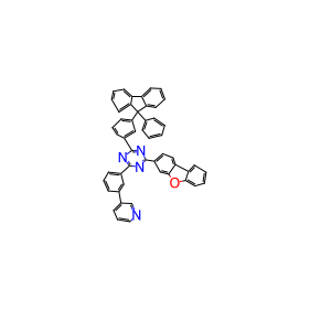 c1ccc(C2(c3cccc(-c4nc(-c5cccc(-c6cccnc6)c5)nc(-c5ccc6c(c5)oc5ccccc56)n4)c3)c3ccccc3-c3ccccc32)cc1